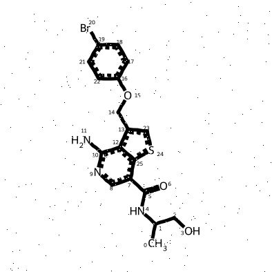 CC(CO)NC(=O)c1cnc(N)c2c(COc3ccc(Br)cc3)csc12